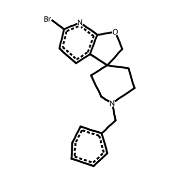 Brc1ccc2c(n1)OCC21CCN(Cc2ccccc2)CC1